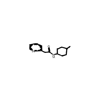 CC1CCC(NC(=O)Cc2ccccn2)CC1